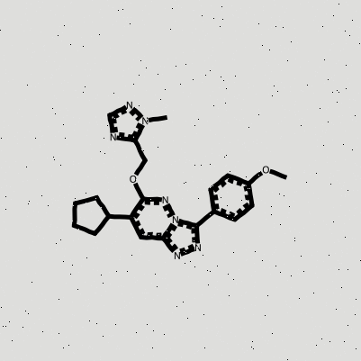 COc1ccc(-c2nnc3cc(C4CCCC4)c(OCc4ncnn4C)nn23)cc1